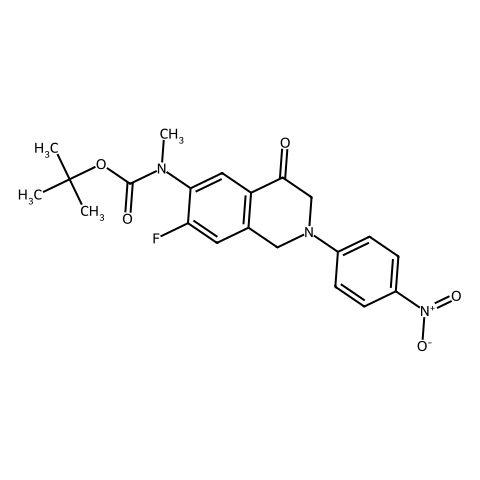 CN(C(=O)OC(C)(C)C)c1cc2c(cc1F)CN(c1ccc([N+](=O)[O-])cc1)CC2=O